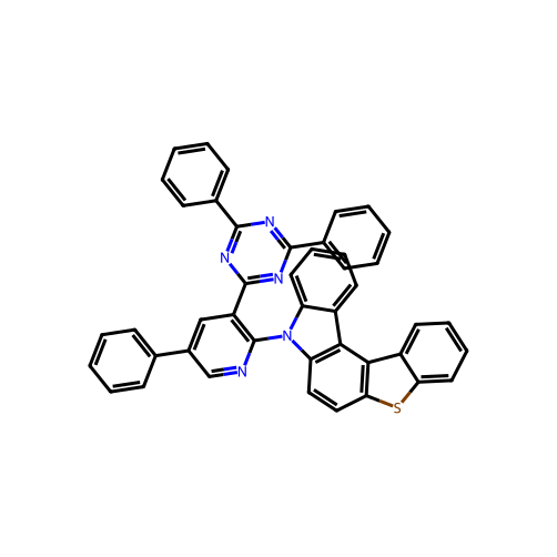 c1ccc(-c2cnc(-n3c4ccccc4c4c5c(ccc43)sc3ccccc35)c(-c3nc(-c4ccccc4)nc(-c4ccccc4)n3)c2)cc1